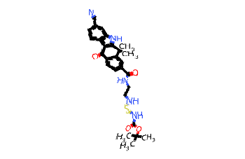 CC(C)(C)OC(=O)NSNCCNC(=O)c1ccc2c(c1)C(C)(C)c1[nH]c3cc(C#N)ccc3c1C2=O